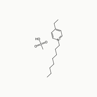 CCCCCCCC[n+]1ccc(CC)cc1.CS(=O)(=O)O